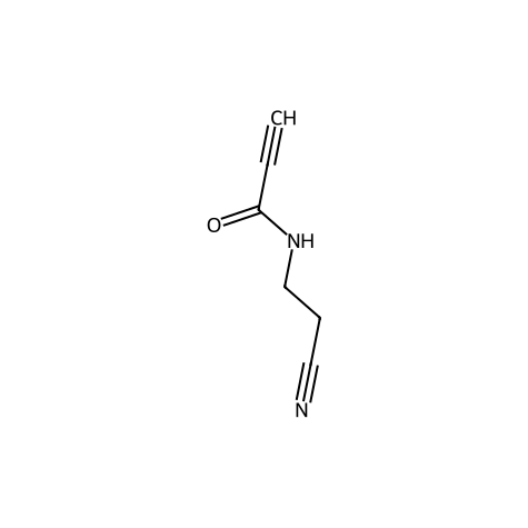 C#CC(=O)NCCC#N